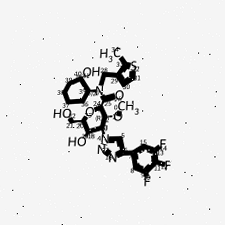 CO[C@@H]1[C@@H](n2cc(-c3cc(F)c(F)c(F)c3)nn2)[C@@H](O)[C@@H](CO)O[C@H]1C(=O)N(Cc1ccsc1C)[C@H]1CCCC[C@@H]1O